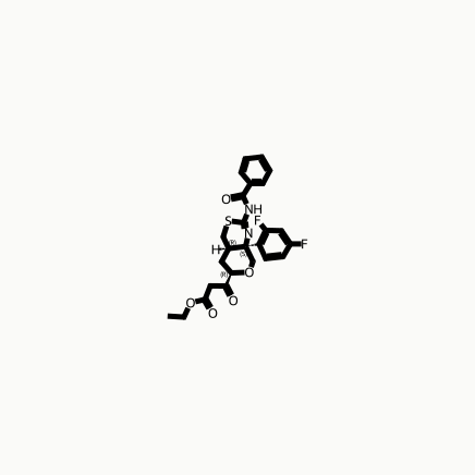 CCOC(=O)CC(=O)[C@H]1C[C@H]2CSC(NC(=O)c3ccccc3)=N[C@@]2(c2ccc(F)cc2F)CO1